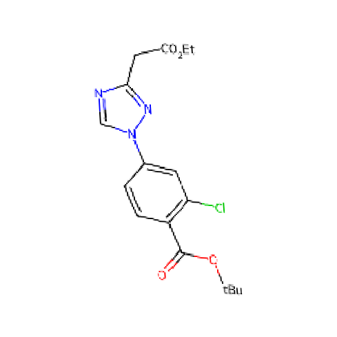 CCOC(=O)Cc1ncn(-c2ccc(C(=O)OC(C)(C)C)c(Cl)c2)n1